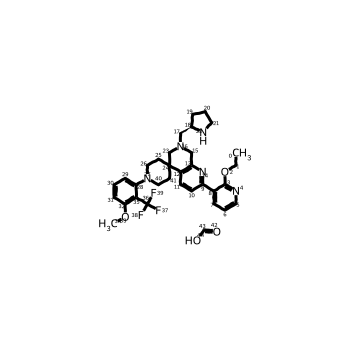 CCOc1ncccc1-c1ccc2c(n1)CN(C[C@H]1CCCN1)CC21CCN(c2cccc(OC)c2C(F)(F)F)CC1.O=CO